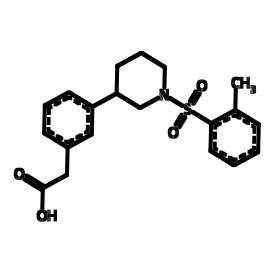 Cc1ccccc1S(=O)(=O)N1CCCC(c2cccc(CC(=O)O)c2)C1